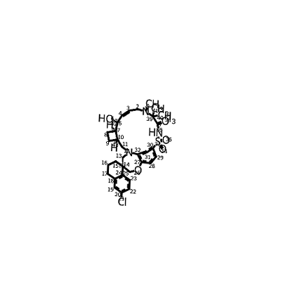 CN1CC=C[C@H](O)[C@@H]2CC[C@H]2CN2C[C@@]3(CCCc4cc(Cl)ccc43)COc3ccc(cc32)S(=O)(=O)NC(=O)C1(C)C